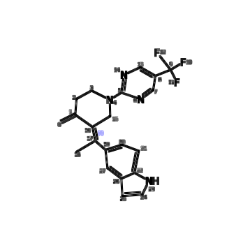 C=C1CCN(c2ncc(C(F)(F)F)cn2)C/C1=C(/C)c1ccc2[nH]ccc2c1